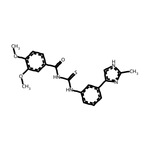 COc1ccc(C(=O)NC(=S)Nc2cccc(-c3c[nH]c(C)n3)c2)cc1OC